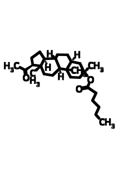 CCCCCC(=O)O[C@]1(C)CC[C@@]2(C)[C@@H](CC[C@@H]3[C@@H]2CC[C@]2(C)[C@@H](C(C)=O)CC[C@@H]32)C1